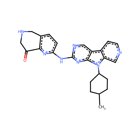 CC1CCC(n2c3cnccc3c3cnc(Nc4ccc5c(n4)C(=O)CNC5)nc32)CC1